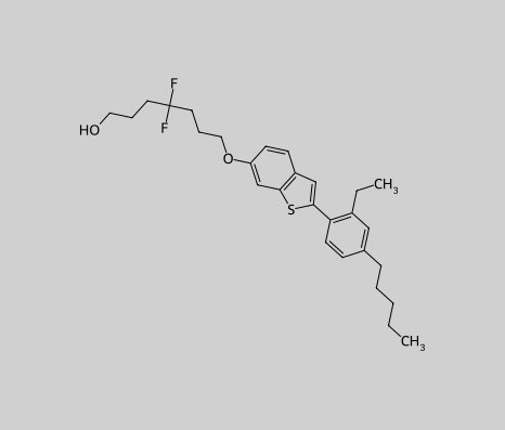 CCCCCc1ccc(-c2cc3ccc(OCCCC(F)(F)CCCO)cc3s2)c(CC)c1